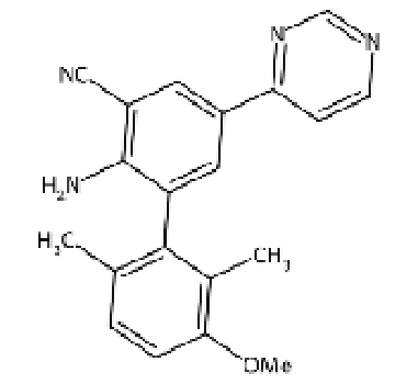 COc1ccc(C)c(-c2cc(-c3ccncn3)cc(C#N)c2N)c1C